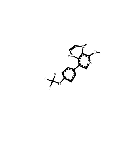 COc1ncc(-c2ccc(OC(F)(F)F)cc2)c2c1N(C)C=CN2